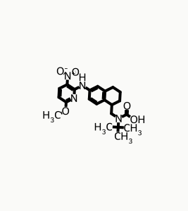 COc1ccc([N+](=O)[O-])c(Nc2ccc3c(c2)CCCC3CN(C(=O)O)C(C)(C)C)n1